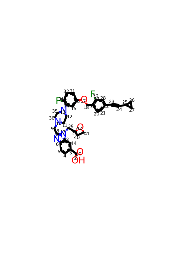 O=C(O)c1ccc2nc(CN3CCN(c4cc(OCc5ccc(C#CC6CC6)cc5F)ccc4F)CC3)n(CC3CCO3)c2c1